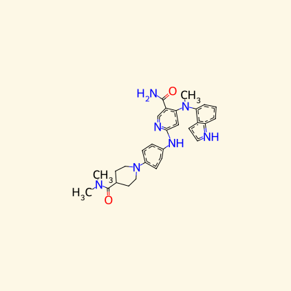 CN(C)C(=O)C1CCN(c2ccc(Nc3cc(N(C)c4cccc5[nH]ccc45)c(C(N)=O)cn3)cc2)CC1